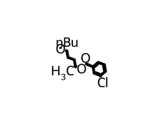 CCCCOCCCC(C)OC(=O)c1cccc(Cl)c1